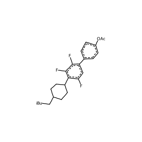 CCC(C)CC1CCC(c2c(F)cc(-c3ccc(OC(C)=O)cc3)c(F)c2F)CC1